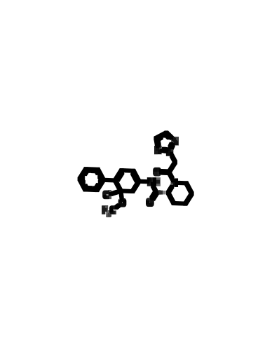 O=C(NC1=CC=C(c2ccccc2)C(Cl)(OC(F)(F)F)C1)[C@H]1CCCCN1C(=O)Cn1nccn1